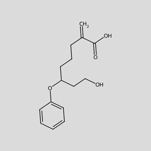 C=C(CCCC(CCO)Oc1ccccc1)C(=O)O